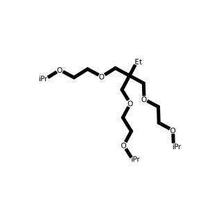 CCC(COCCOC(C)C)(COCCOC(C)C)COCCOC(C)C